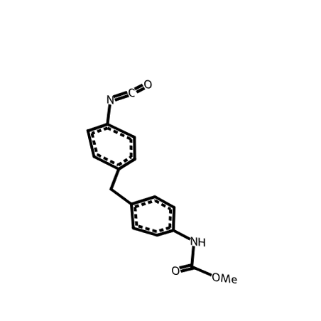 COC(=O)Nc1ccc(Cc2ccc(N=C=O)cc2)cc1